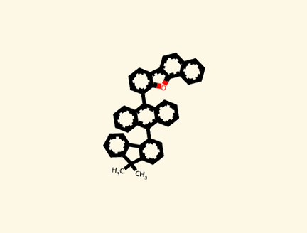 CC1(C)c2ccccc2-c2c(-c3c4ccccc4c(-c4cccc5c4oc4c6ccccc6ccc54)c4ccccc34)cccc21